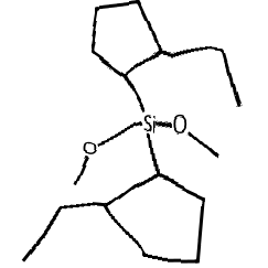 CCC1CCCC1[Si](OC)(OC)C1CCCC1CC